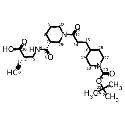 C#C[C@@H](CNC(=O)[C@@H]1CCCN(C(=O)CCC2CCN(C(=O)OC(C)(C)C)CC2)C1)C(=O)O